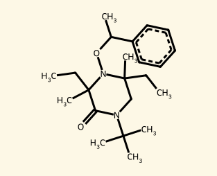 CCC1(C)CN(C(C)(C)C)C(=O)C(C)(CC)N1OC(C)c1ccccc1